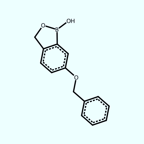 OB1OCc2ccc(OCc3ccccc3)cc21